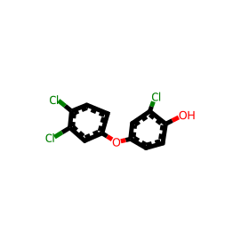 Oc1ccc(Oc2ccc(Cl)c(Cl)c2)cc1Cl